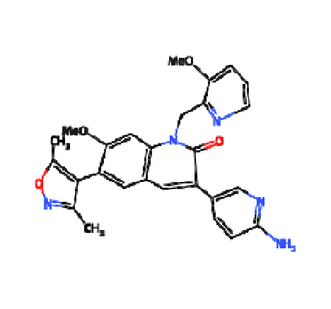 COc1cc2c(cc1-c1c(C)noc1C)cc(-c1ccc(N)nc1)c(=O)n2Cc1ncccc1OC